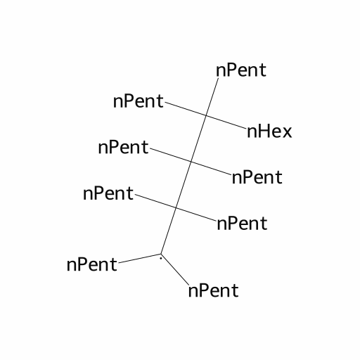 CCCCCCC(CCCCC)(CCCCC)C(CCCCC)(CCCCC)C(CCCCC)(CCCCC)[C](CCCCC)CCCCC